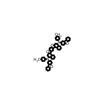 Cc1ccc(N(c2ccc3oc4ccccc4c3c2)c2cc3oc4cc5oc6cc(N(c7ccc(C)cc7)c7ccc8oc9ccccc9c8c7)c7ccccc7c6c5cc4c3c3ccccc23)cc1